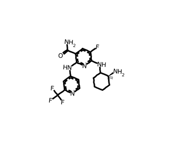 NC(=O)c1cc(F)c(NC2CCCC[C@@H]2N)nc1Nc1ccnc(C(F)(F)F)c1